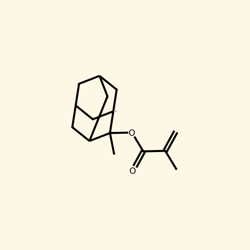 C=C(C)C(=O)OC1(C)[C]2CC3CC(C2)CC1C3